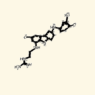 N=C(N)NCCNc1cc(Cl)cc2c1[nH]c1ccc(Nc3ccc(Cl)c(Cl)c3)cc12